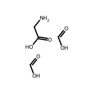 NCC(=O)O.O=CO.O=CO